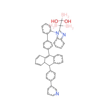 BC(O)(O)C(B)(B)c1nc2ccccc2n1-c1ccccc1-c1ccc(C2=C3C=CC=CC3C(c3ccc(-c4cccnc4)cc3)c3ccccc32)cc1